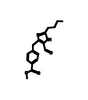 CCCCc1nc(Cc2ccc(C(=O)OC)cc2)c(C=O)[nH]1